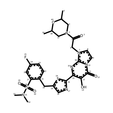 CC1CN(C(=O)Cn2ccn3c(=O)c(O)c(-c4ncc(Cc5ccc(F)cc5S(=O)(=O)N(C)C)s4)nc23)CC(C)O1